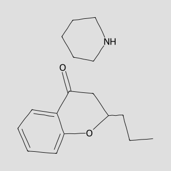 C1CCNCC1.CCCC1CC(=O)c2ccccc2O1